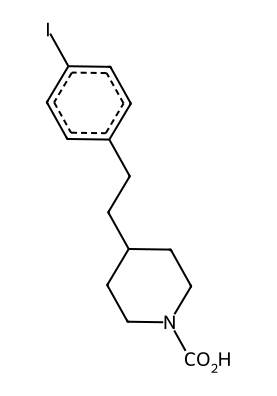 O=C(O)N1CCC(CCc2ccc(I)cc2)CC1